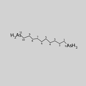 [AsH2]CCCCCCCCCC[AsH2]